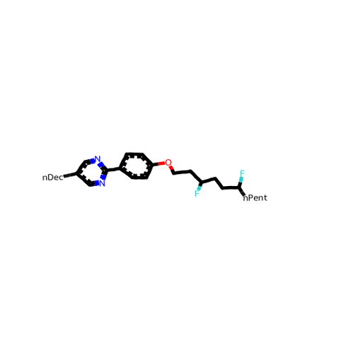 CCCCCCCCCCc1cnc(-c2ccc(OCCC(F)CCC(F)CCCCC)cc2)nc1